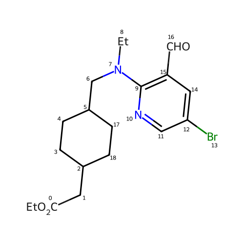 CCOC(=O)CC1CCC(CN(CC)c2ncc(Br)cc2C=O)CC1